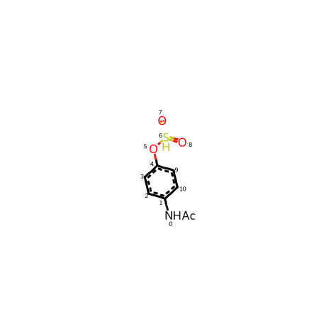 CC(=O)Nc1ccc(O[SH](=O)=O)cc1